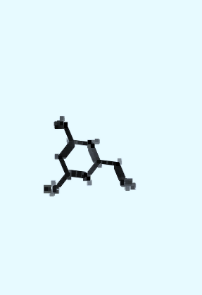 C=Cc1nc(C)cc(C(C)(C)C)n1